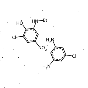 CCNc1cc([N+](=O)[O-])cc(Cl)c1O.Nc1cc(N)cc(Cl)c1